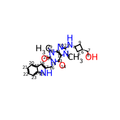 Cn1c(N[C@H]2C[C@H](CO)C2)nc2c1c(=O)n(Cc1cc3ccccc3[nH]1)c(=O)n2C